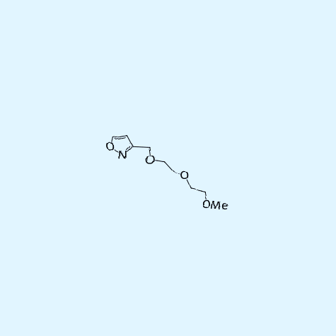 COCCOCCOCc1ccon1